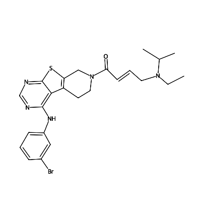 CCN(CC=CC(=O)N1CCc2c(sc3ncnc(Nc4cccc(Br)c4)c23)C1)C(C)C